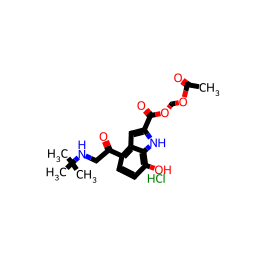 CC(=O)OCOC(=O)c1cc2c(C(=O)CNC(C)(C)C)ccc(O)c2[nH]1.Cl